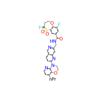 CCCc1ccnc2c1OCCN2c1ccc2cnc(CNC(=O)c3cc(F)c4c(c3)S(=O)(=O)[C@@H](F)CCO4)cc2n1